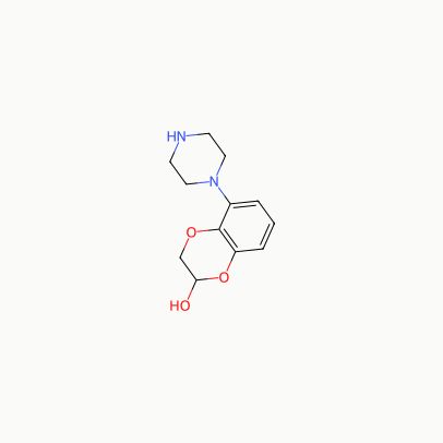 OC1COc2c(cccc2N2CCNCC2)O1